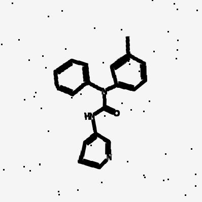 Cc1cccc(N(C(=O)Nc2cccnc2)c2ccccc2)c1